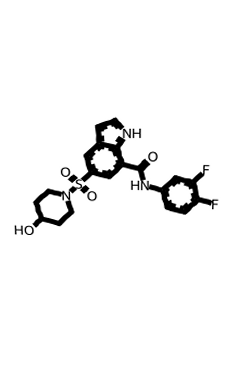 O=C(Nc1ccc(F)c(F)c1)c1cc(S(=O)(=O)N2CCC(O)CC2)cc2cc[nH]c12